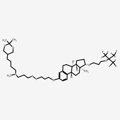 CN(CCCCC1COC(C)(C)OC1)CCCSSCCCOc1ccc2c(c1)CC[C@@H]1[C@@H]2CC[C@]2(C)[C@@H](OCCCOC(C(F)(F)F)(C(F)(F)F)C(F)(F)F)CC[C@@H]12